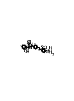 Nc1ccc(C=Cc2ccc(-c3nc(Cl)nc(Nc4ccccc4Cl)n3)cc2)c(S(=O)(=O)O)c1